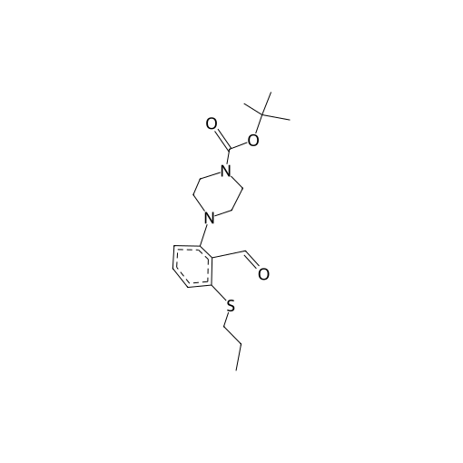 CCCSc1cccc(N2CCN(C(=O)OC(C)(C)C)CC2)c1C=O